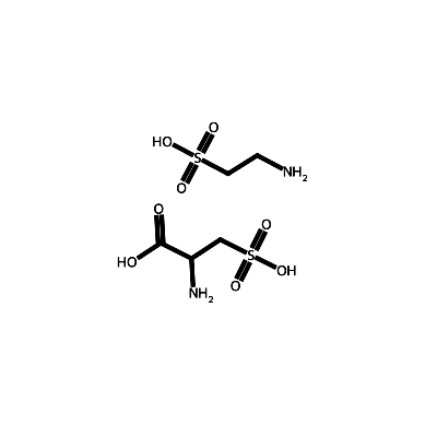 NC(CS(=O)(=O)O)C(=O)O.NCCS(=O)(=O)O